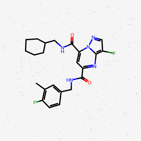 Cc1cc(CNC(=O)c2cc(C(=O)NCC3CCCCC3)n3ncc(F)c3n2)ccc1F